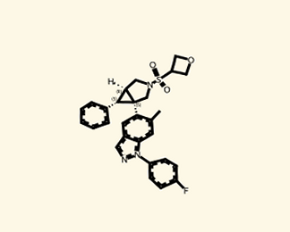 Cc1cc2c(cnn2-c2ccc(F)cc2)cc1[C@@]12CN(S(=O)(=O)C3COC3)C[C@@H]1[C@H]2c1ccccc1